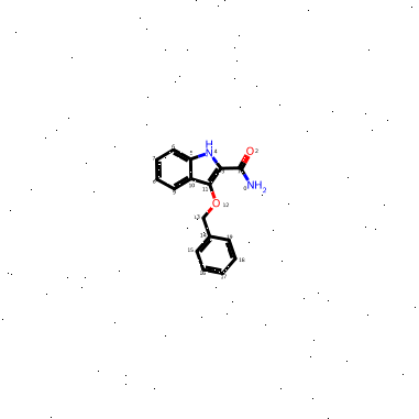 NC(=O)c1[nH]c2ccccc2c1OCc1ccccc1